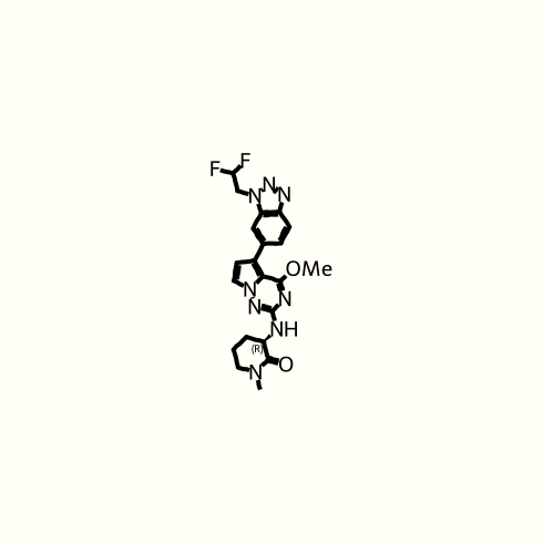 COc1nc(N[C@@H]2CCCN(C)C2=O)nn2ccc(-c3ccc4nnn(CC(F)F)c4c3)c12